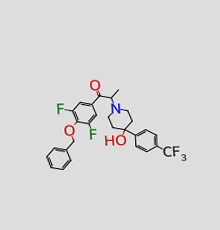 CC(C(=O)c1cc(F)c(OCc2ccccc2)c(F)c1)N1CCC(O)(c2ccc(C(F)(F)F)cc2)CC1